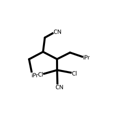 CC(C)CC(CC#N)C(CC(C)C)C(Cl)(Cl)C#N